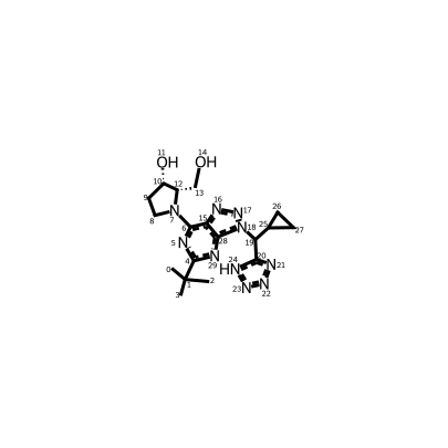 CC(C)(C)c1nc(N2CC[C@H](O)[C@@H]2CO)c2nnn(C(c3nnn[nH]3)C3CC3)c2n1